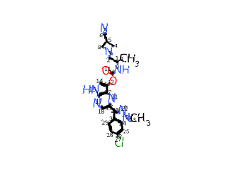 C[C@H](CN1CC(C#N)C1)NC(=O)Oc1c[nH]c2ncc(-c3nn(C)c4cc(Cl)ccc34)nc12